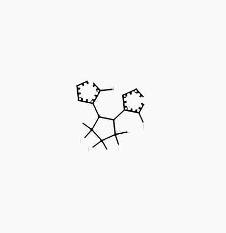 Fc1sccc1C1C(c2ccsc2F)C(F)(F)C(F)(F)C1(F)F